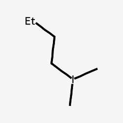 CCCCI(C)C